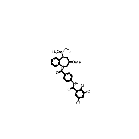 COC1CC(N(C)C)c2ccccc2N(C(=O)c2ccc(NC(=O)c3cc(Cl)cc(Cl)c3Cl)cc2)C1